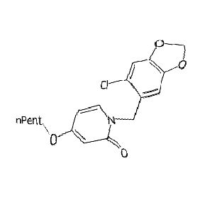 CCCCCOc1ccn(Cc2cc3c(cc2Cl)OCO3)c(=O)c1